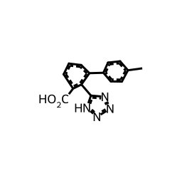 Cc1ccc(-c2cccc(C(=O)O)c2-c2nnn[nH]2)cc1